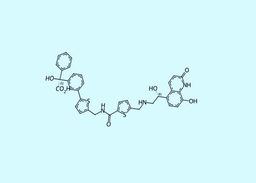 O=C(NCc1ccc(-c2cccc([C@](O)(C(=O)O)c3ccccc3)c2)s1)c1ccc(CNC[C@H](O)c2ccc(O)c3[nH]c(=O)ccc23)s1